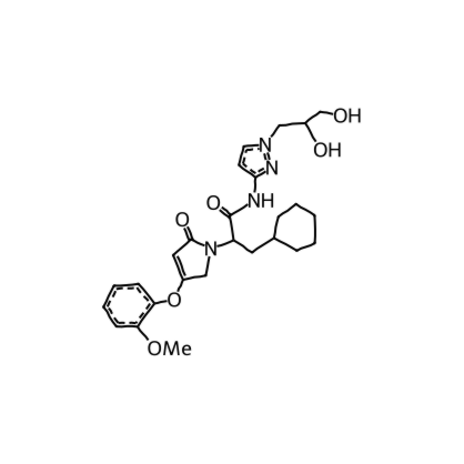 COc1ccccc1OC1=CC(=O)N(C(CC2CCCCC2)C(=O)Nc2ccn(CC(O)CO)n2)C1